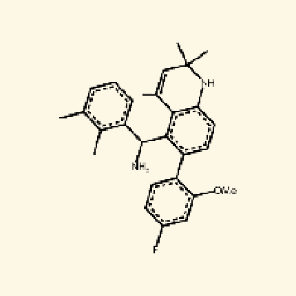 COc1cc(F)ccc1-c1ccc2c(c1C(N)c1cccc(C)c1C)C(C)=CC(C)(C)N2